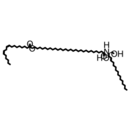 CCCCC/C=C\C/C=C\CCCCCCCC(=O)OCCCCCCCCCCCCCCCCCCCCCCCCCCCC(=O)N[C@@H](CO)[C@H](O)/C=C/CCCCCCCCCCCCC